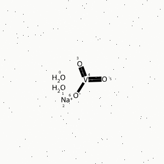 O.O.[Na+].[O]=[V](=[O])[O-]